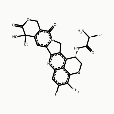 CC[C@@]1(O)C(=O)OCc2c1cc1n(c2=O)Cc2c-1nc1cc(F)c(C)c3c1c2[C@H](NC(=O)[C@@H](N)C(C)C)CS3